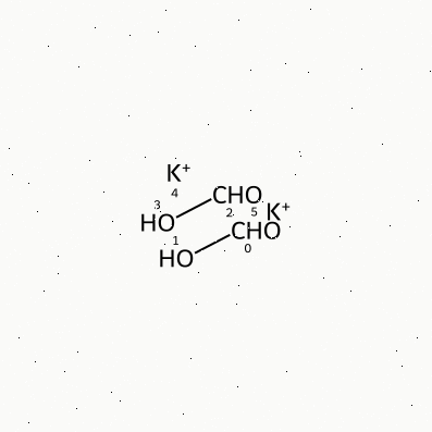 O=[C-]O.O=[C-]O.[K+].[K+]